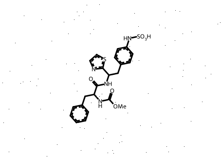 COC(=O)NC(Cc1ccccc1)C(=O)NC(Cc1ccc(NS(=O)(=O)O)cc1)c1nccs1